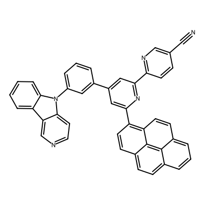 N#Cc1ccc(-c2cc(-c3cccc(-n4c5ccccc5c5cnccc54)c3)cc(-c3ccc4ccc5cccc6ccc3c4c56)n2)nc1